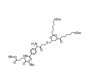 CCCCCCCCCCCCCCCC(=O)OCC(CSCCC(=O)C(N)c1ccc(C(=O)NC(CCC(=O)OC(C)(C)C)C(=O)OC(C)(C)C)cc1)OC(=O)CCCCCCCCCCCCCCC